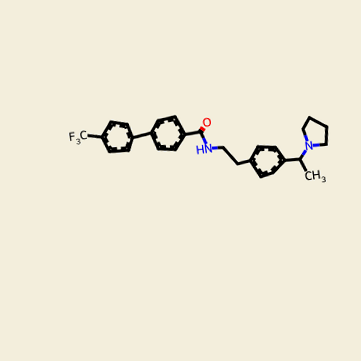 CC(c1ccc(CCNC(=O)c2ccc(-c3ccc(C(F)(F)F)cc3)cc2)cc1)N1CCCC1